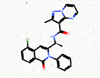 Cc1nn2cccnc2c1C(=O)N[C@@H](C)c1cc2c(Cl)cccc2c(=O)n1-c1ccccc1